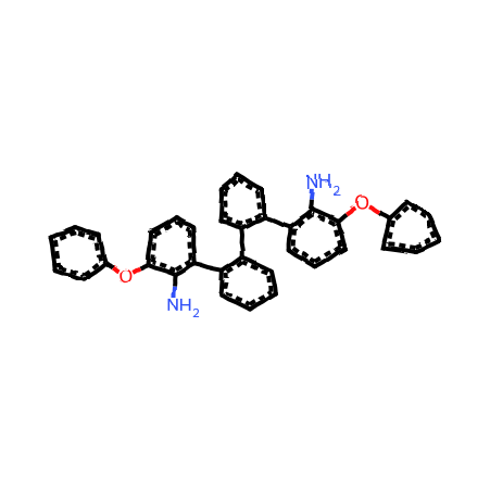 Nc1c(Oc2ccccc2)cccc1-c1ccccc1-c1ccccc1-c1cccc(Oc2ccccc2)c1N